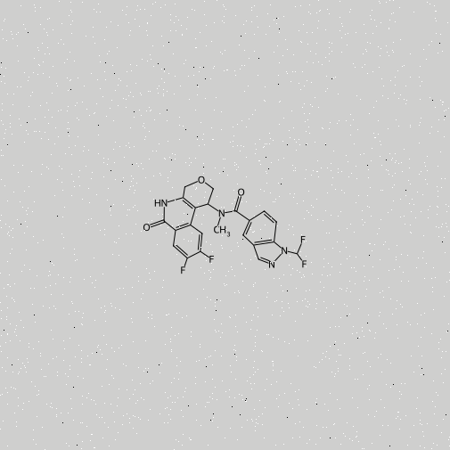 CN(C(=O)c1ccc2c(cnn2C(F)F)c1)C1COCc2[nH]c(=O)c3cc(F)c(F)cc3c21